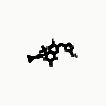 CC(F)(F)[C@@]1(C#CC2CC2)NC(=O)Nc2cc(Cn3cnc(N)n3)c(F)cc21